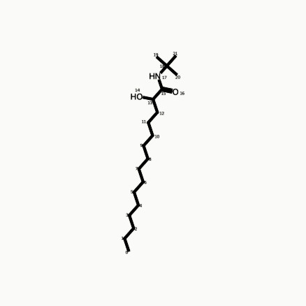 CCCCCCCCCCCCCC(O)C(=O)NC(C)(C)C